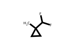 [CH2]C1(C(F)F)CC1